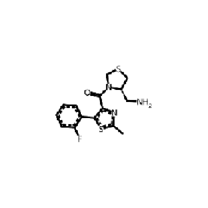 Cc1nc(C(=O)N2CSC[C@H]2CN)c(-c2ccccc2F)s1